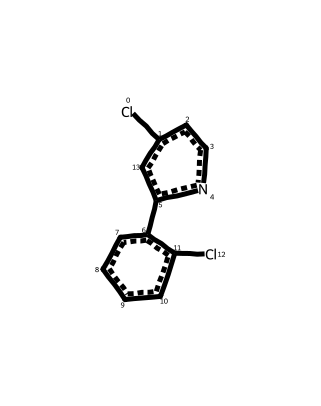 Clc1ccnc(-c2ccccc2Cl)c1